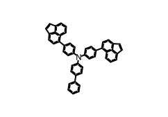 C1=Cc2ccc(-c3ccc(N(c4ccc(-c5ccccc5)cc4)c4ccc(-c5ccc6c7c(cccc57)C=C6)cc4)cc3)c3cccc1c23